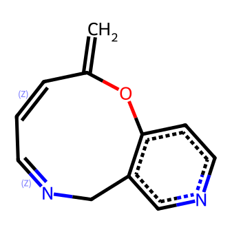 C=C1/C=C\C=N/Cc2cnccc2O1